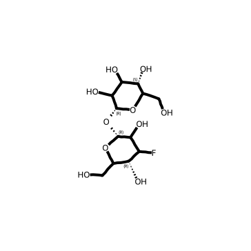 OCC1O[C@H](O[C@H]2OC(CO)[C@@H](O)C(F)C2O)C(O)C(O)[C@@H]1O